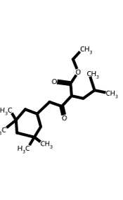 CCOC(=O)C(CC(C)C)C(=O)CC1CC(C)(C)CC(C)(C)C1